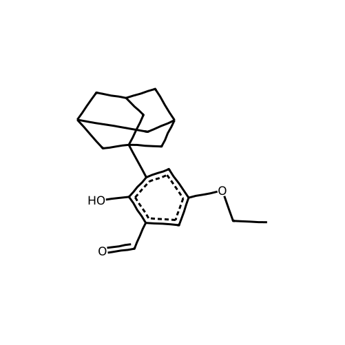 CCOc1cc(C=O)c(O)c(C23CC4CC(CC(C4)C2)C3)c1